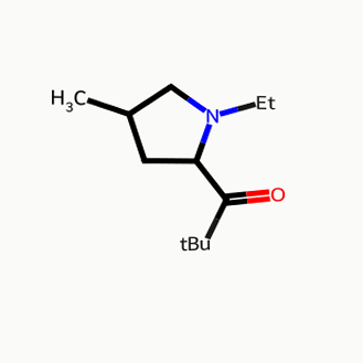 CCN1CC(C)CC1C(=O)C(C)(C)C